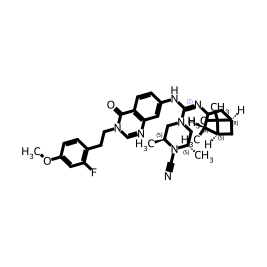 COc1ccc(CCn2cnc3cc(N/C(=N/C4C[C@H]5C[C@@H]([C@@H]4C)C5(C)C)N4C[C@H](C)N(C#N)[C@@H](C)C4)ccc3c2=O)c(F)c1